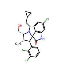 O=C1Nc2cc(Cl)ccc2[C@@]12[C@@H](c1cccc(Cl)c1F)[C@H]([N+](=O)[O-])[C@H](CO)N2CCC1CC1